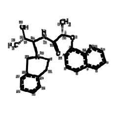 C[C@H](Oc1cccc2cccnc12)C(=O)NC([C@H](C)O)N1CCc2ccccc2C1